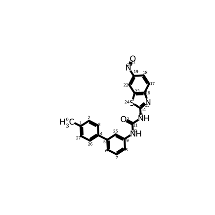 Cc1ccc(-c2cccc(NC(=O)Nc3nc4ccc(N=O)cc4s3)c2)cc1